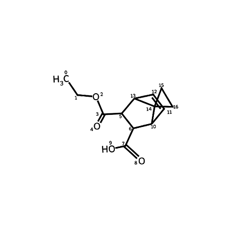 CCOC(=O)C1C(C(=O)O)C2C=CC1C21CC1